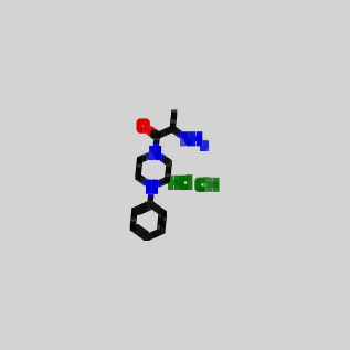 CC(N)C(=O)N1CCN(c2ccccc2)CC1.Cl.Cl